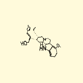 CC[C@@H]1CN2CCc3c([nH]c4cccc(OC)c34)[C@@H]2C[C@@H]1/C(=C\OC)CO